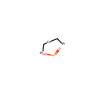 CC(C)[CH2][Ca][CH2]C(C)C.O=PO